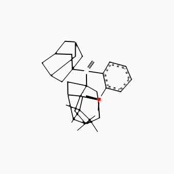 CC1(C)OB(c2ccccc2P(=O)(C23CC4CC(CC(C4)C2)C3)C23CC4CC5CC(C2)C43C5)OC1(C)C